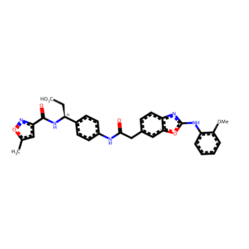 COc1ccccc1Nc1nc2ccc(CC(=O)Nc3ccc([C@H](CC(=O)O)NC(=O)c4cc(C)on4)cc3)cc2o1